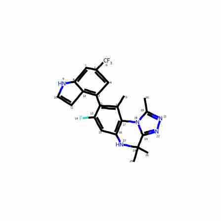 Cc1c(-c2cc(C(F)(F)F)cc3[nH]ccc23)c(F)cc2c1-n1c(C)nnc1C(C)(C)N2